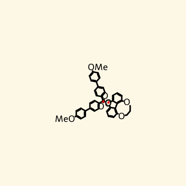 COc1ccc(-c2ccc(C(=O)Oc3cccc4c3-c3c(cccc3OC(=O)c3ccc(-c5ccc(OC)cc5)cc3)OCCCO4)cc2)cc1